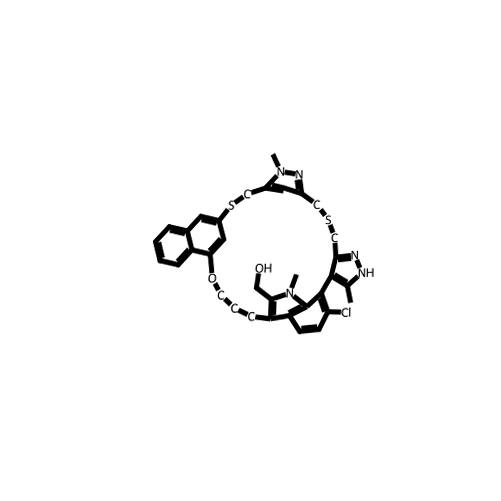 Cc1[nH]nc2c1-c1c(Cl)ccc3c(c(CO)n(C)c13)CCCOc1cc(cc3ccccc13)SCc1cc(nn1C)CSC2